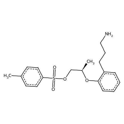 Cc1ccc(S(=O)(=O)OC[C@@H](C)Oc2ccccc2CCCN)cc1